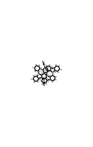 N#Cc1ccc(-n2c3ccccc3c3cccc(-n4c5ccccc5c5ccccc54)c32)cc1-c1ccccc1-n1c2ccccc2c2c(C#N)cccc21